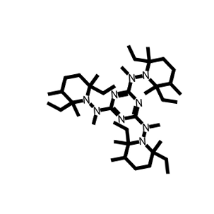 CCC1(C)CCC(C)C(C)(CC)N1N(C)c1nc(N(C)N2C(C)(CC)CCC(C)C2(C)CC)nc(N(C)N2C(C)(CC)CCC(C)C2(C)CC)n1